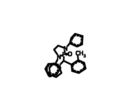 Cc1ccccc1C(N1CCSCC1)P1(=O)N(c2ccccc2)CCN1c1ccccc1